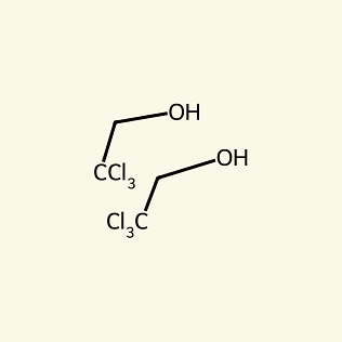 OCC(Cl)(Cl)Cl.OCC(Cl)(Cl)Cl